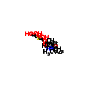 CCC(C)(CC(C)(C)C(=O)OCC(O)C[S+]([O-])CC(O)CO)C(=O)NC(C)(C)CC(C)=O